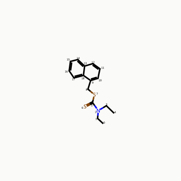 CCN(CC)C(=S)SCc1cccc2ccccc12